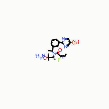 C/C=C(/F)C(=O)N(C(C)c1cccc(-c2ncc(O)cn2)c1)[C@@H](C)C(C)(C)ON